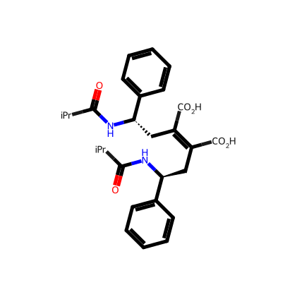 CC(C)C(=O)N[C@@H](CC(C(=O)O)=C(C[C@H](NC(=O)C(C)C)c1ccccc1)C(=O)O)c1ccccc1